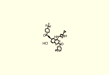 CC1CN(C(=O)c2nc(Nc3cc(C4CC4)[nH]n3)c3cc(C#CC(=O)N4CCC(C(F)(F)F)CC4)ccc3n2)CCN1.Cl